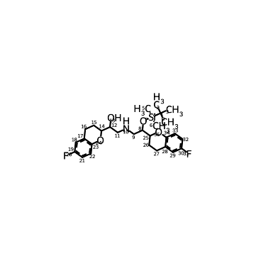 CC(C)(C)[Si](C)(C)OC(CNCC(O)C1CCc2cc(F)ccc2O1)C1CCc2cc(F)ccc2O1